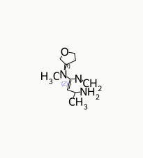 C=N/C(=C\C(C)N)N(C)[C@@H]1CCOC1